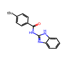 CC(C)(C)c1ccc(C(=O)Nc2nc3ccccc3[nH]2)cc1